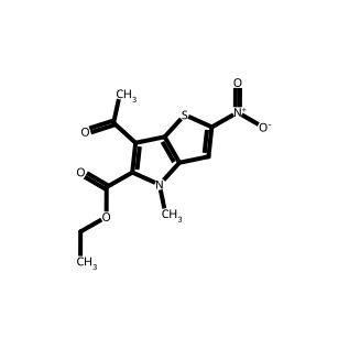 CCOC(=O)c1c(C(C)=O)c2sc([N+](=O)[O-])cc2n1C